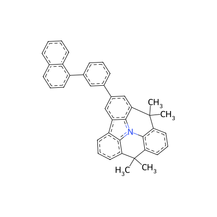 CC1(C)c2cccc3c2-n2c4c1cccc4c1cc(-c4cccc(-c5cccc6ccccc56)c4)cc(c12)C3(C)C